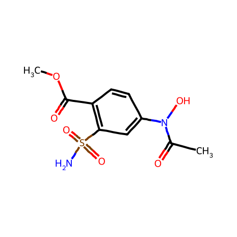 COC(=O)c1ccc(N(O)C(C)=O)cc1S(N)(=O)=O